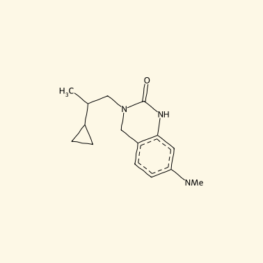 CNc1ccc2c(c1)NC(=O)N(CC(C)C1CC1)C2